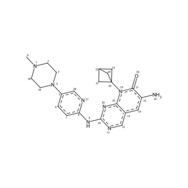 CN1CCN(c2ccc(Nc3ncc4cc(N)c(=O)n(C56CC(C5)C6)c4n3)nc2)CC1